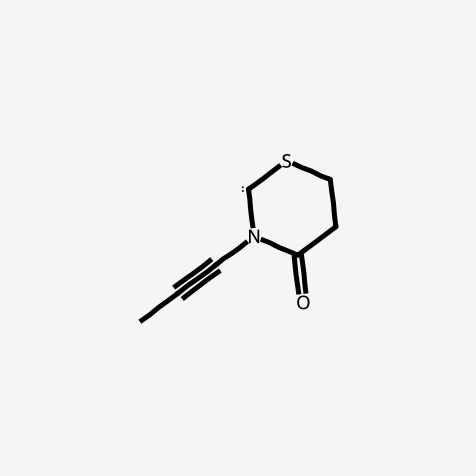 CC#CN1[C]SCCC1=O